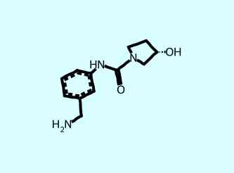 NCc1cccc(NC(=O)N2CC[C@H](O)C2)c1